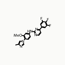 COc1cc(Nc2nccc(-c3cc(F)c(F)c(F)c3)n2)ccc1-n1cnc(C)c1